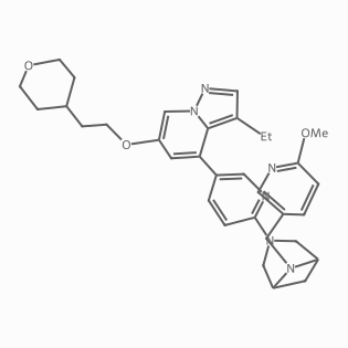 CCc1cnn2cc(OCCC3CCOCC3)cc(-c3ccc(N4CC5CC(C4)N5Cc4ccc(OC)nc4)nc3)c12